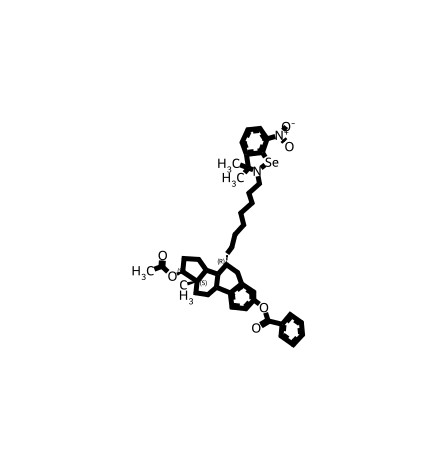 CC(=O)O[C@H]1CCC2C3C(CC[C@@]21C)c1ccc(OC(=O)c2ccccc2)cc1C[C@H]3CCCCCCCCN1[Se]c2c([N+](=O)[O-])cccc2C1(C)C